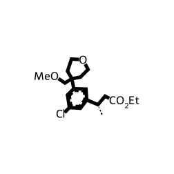 CCOC(=O)C[C@H](C)c1cc(Cl)cc(C2(COC)CCOCC2)c1